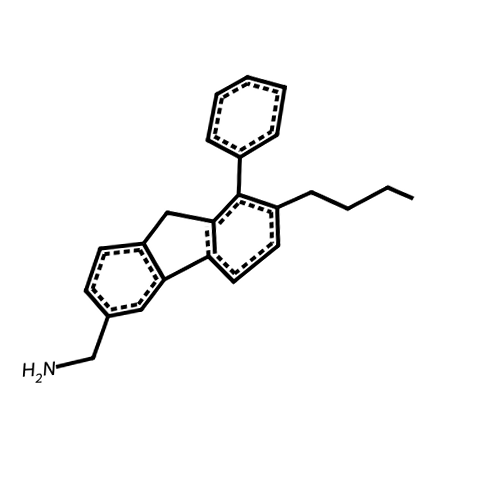 CCCCc1ccc2c(c1-c1ccccc1)Cc1ccc(CN)cc1-2